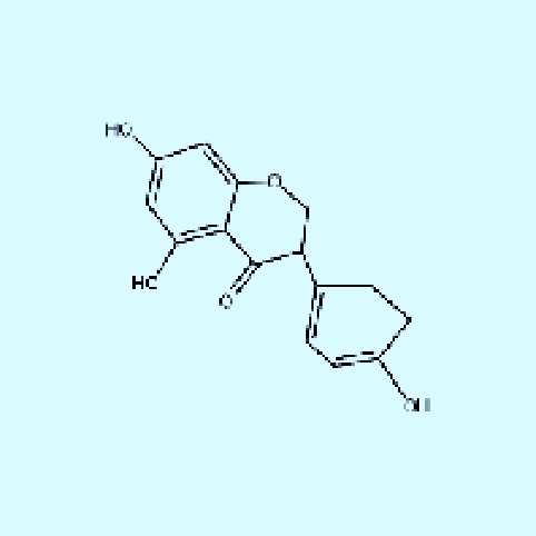 O=C1c2c(O)cc(O)cc2OCC1C1=CC=C(O)CC1